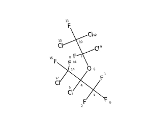 FC(F)(F)C(Cl)(OC(F)(Cl)C(F)(Cl)Cl)C(F)(F)Cl